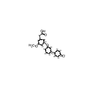 COc1cc(CC(=O)O)cc(Oc2cccc(-c3ccc(Cl)cc3)c2)c1